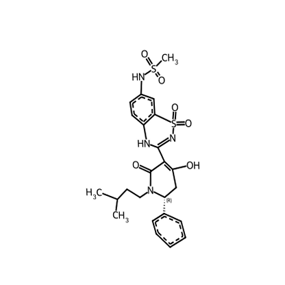 CC(C)CCN1C(=O)C(C2=NS(=O)(=O)c3cc(NS(C)(=O)=O)ccc3N2)=C(O)C[C@@H]1c1ccccc1